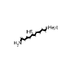 CCCCCCCCCCCCCCCCCN.F